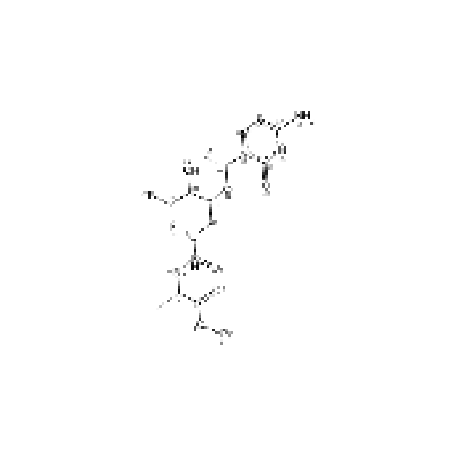 CC(C)OC(=O)[C@H](C)N[PH](=O)OCC(O[C@H](C)n1ccc(N)nc1=O)C(O)C(F)F